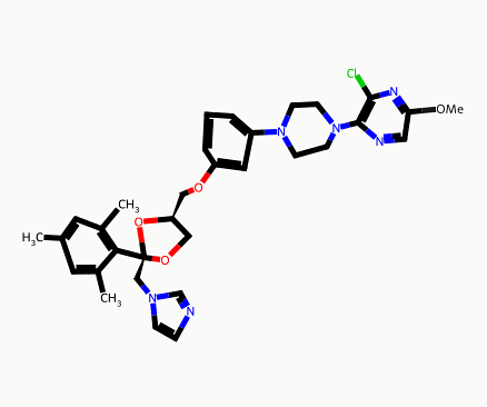 COc1cnc(N2CCN(c3cccc(OC[C@H]4CO[C@](Cn5ccnc5)(c5c(C)cc(C)cc5C)O4)c3)CC2)c(Cl)n1